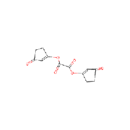 O=C1C=C(OC(=O)C(=O)OC2=CC(=O)CC2)CC1